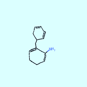 NC1=CCCC=C1C1C=CC=CC1